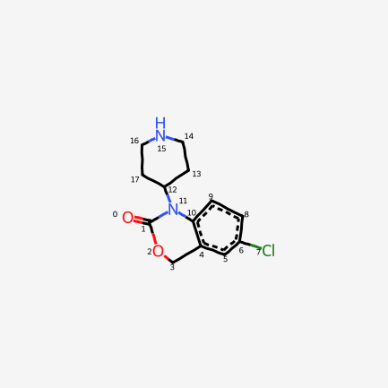 O=C1OCc2cc(Cl)ccc2N1C1CCNCC1